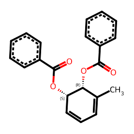 CC1=CC=C[C@H](OC(=O)c2ccccc2)[C@@H]1OC(=O)c1ccccc1